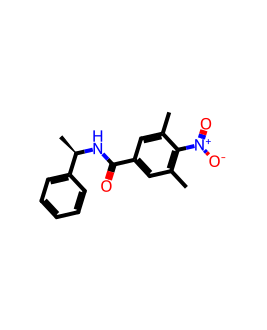 Cc1cc(C(=O)N[C@H](C)c2ccccc2)cc(C)c1[N+](=O)[O-]